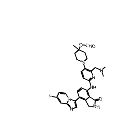 CN(C)Cc1nc(Nc2ccc(-c3cnc4cc(F)ccn34)c3c2C(=O)NC3)ccc1N1CCC(C)(OC=O)CC1